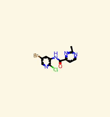 Cc1nccc(C(=O)Nc2cc(Br)cnc2Cl)n1